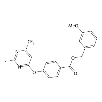 COc1cccc(COC(=O)c2ccc(Oc3cc(C(F)(F)F)nc(C)n3)cc2)c1